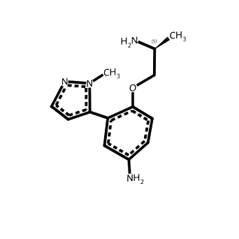 C[C@H](N)COc1ccc(N)cc1-c1ccnn1C